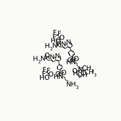 CC(C)(C)N(CCCNS(=O)(=O)c1ccc(-c2ccnc3[nH]c(CC(N)=O)cc23)cc1)C(=O)O.NCCCNS(=O)(=O)c1ccc(-c2ccnc3[nH]c(CC(N)=O)cc23)cc1.O=C(O)C(F)(F)F.O=C(O)C(F)(F)F